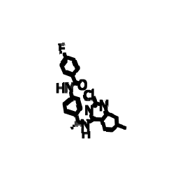 Cc1ccc2c(N[C@H](C)c3ccc(NC(=O)c4ccc(F)cc4)cc3)nc(Cl)nc2c1